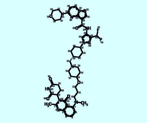 Cc1nc2cccc(N(C)CCCOC3CCN(C[C@H]4CC[C@H](n5cc(NC(=O)c6cnn7ccc(N8CCOCC8)nc67)c(C(F)F)n5)CC4)CC3)c2c(=O)n1C1CCC(=O)NC1=O